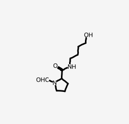 O=CN1CCCC1C(=O)NCCCCO